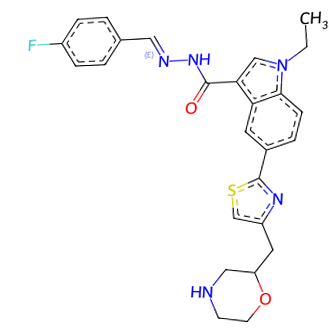 CCn1cc(C(=O)N/N=C/c2ccc(F)cc2)c2cc(-c3nc(CC4CNCCO4)cs3)ccc21